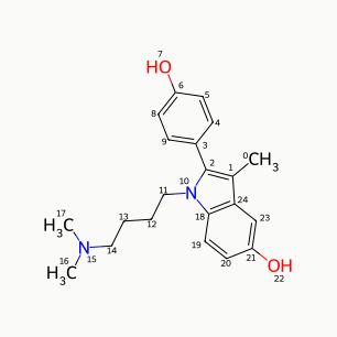 Cc1c(-c2ccc(O)cc2)n(CCCCN(C)C)c2ccc(O)cc12